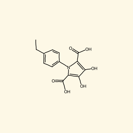 CCc1ccc(-n2c(C(=O)O)c(O)c(O)c2C(=O)O)cc1